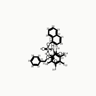 C[C@H](NP(=O)(Oc1c(I)c(I)c(I)c(I)c1I)Oc1cccc2ccccc12)C(=O)OCc1ccccc1